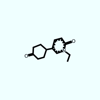 CCn1cc(C2CCC(=O)CC2)ccc1=O